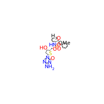 COC(=O)[C@H](C)N[P@](=O)(OC[C@H]1S[C@@H](n2cnc(N)nc2=O)C[C@@H]1O)Oc1ccccc1